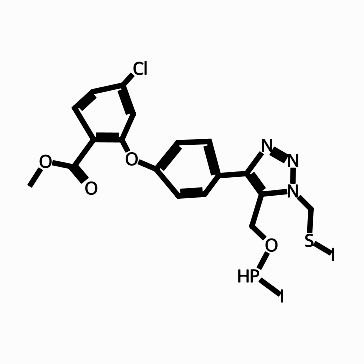 COC(=O)c1ccc(Cl)cc1Oc1ccc(-c2nnn(CSI)c2COPI)cc1